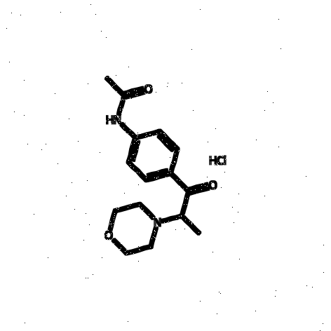 CC(=O)Nc1ccc(C(=O)C(C)N2CCOCC2)cc1.Cl